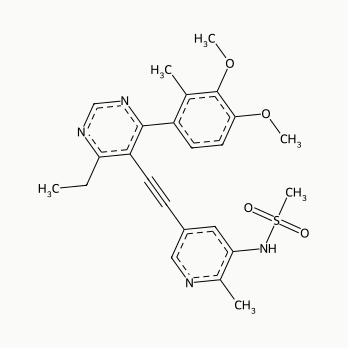 CCc1ncnc(-c2ccc(OC)c(OC)c2C)c1C#Cc1cnc(C)c(NS(C)(=O)=O)c1